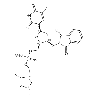 COP(=O)(OC[C@@H]1C[C@H](C)OC1C)OC[C@H]1O[C@@H](n2cc(C)c(=O)[nH]c2=O)C[C@H]1ON1C(=O)c2ccccc2C1=O